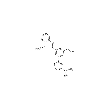 CCC[C@@H](N)c1cccc(-c2cc(CO)cc(COc3ccccc3CC(=O)O)c2)c1